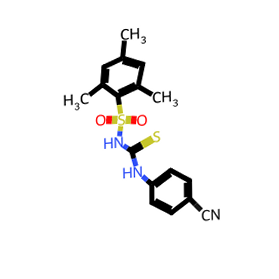 Cc1cc(C)c(S(=O)(=O)NC(=S)Nc2ccc(C#N)cc2)c(C)c1